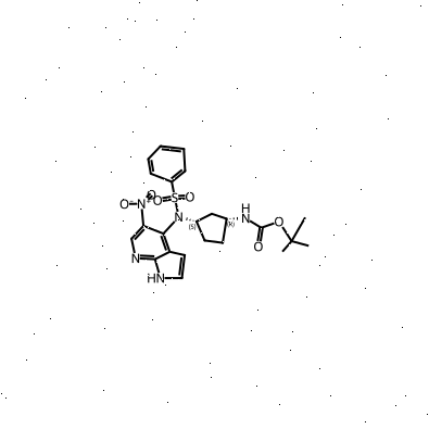 CC(C)(C)OC(=O)N[C@@H]1CC[C@H](N(c2c([N+](=O)[O-])cnc3[nH]ccc23)S(=O)(=O)c2ccccc2)C1